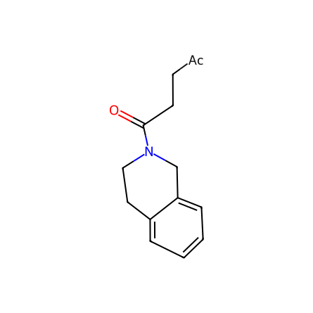 CC(=O)CCC(=O)N1CCc2ccccc2C1